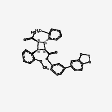 COc1ccccc1[C@@H]1[C@H](C(=O)Oc2cccc(-c3ccc4c(c3)OCO4)c2)[C@@H](c2ccccc2C)[C@@H]1C(=O)O